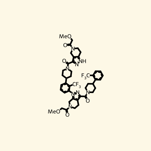 COCC(=O)N1CCc2[nH]nc(C(=O)N3CCC(c4cccc(-n5nc(C(=O)N6CCC(c7ccccc7C(F)(F)F)CC6)c6c5CN(C(=O)COC)CC6)c4C(F)(F)F)CC3)c2C1